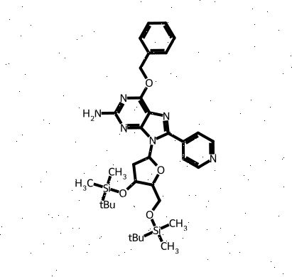 CC(C)(C)[Si](C)(C)OCC1OC(n2c(-c3ccncc3)nc3c(OCc4ccccc4)nc(N)nc32)CC1O[Si](C)(C)C(C)(C)C